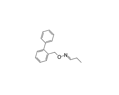 CCC=NOCc1ccccc1-c1ccccc1